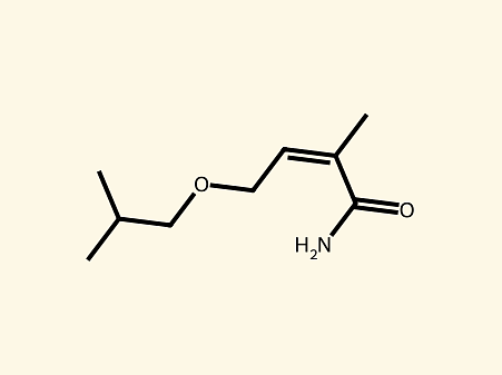 CC(=CCOCC(C)C)C(N)=O